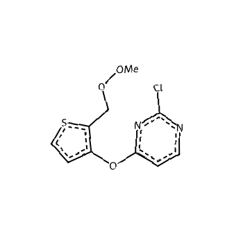 COOCc1sccc1Oc1ccnc(Cl)n1